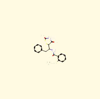 COc1ccccc1C(=O)NC(Cc1ccccc1)C1SC(=O)NC1=O